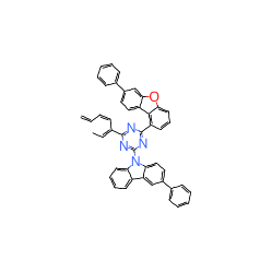 C=C/C=C\C(=C/C)c1nc(-c2cccc3oc4cc(-c5ccccc5)ccc4c23)nc(-n2c3ccccc3c3cc(-c4ccccc4)ccc32)n1